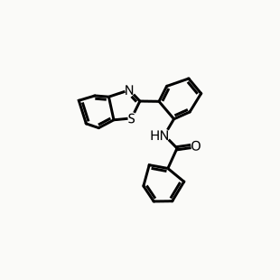 O=C(Nc1ccccc1-c1nc2ccccc2s1)c1ccccc1